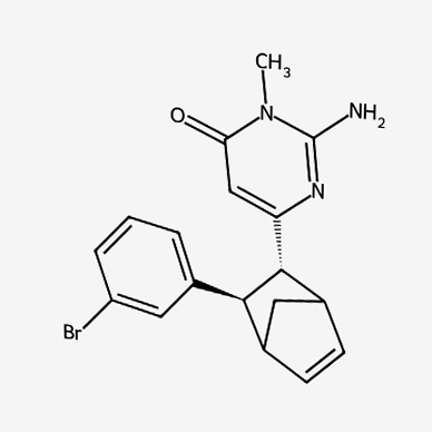 Cn1c(N)nc([C@@H]2C3C=CC(C3)[C@H]2c2cccc(Br)c2)cc1=O